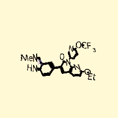 CCOc1ccc2cc(C3=C/C(=C/NC)C(=N)C=C3)c(=O)n(-c3ccc(OC(F)(F)F)nc3)c2n1